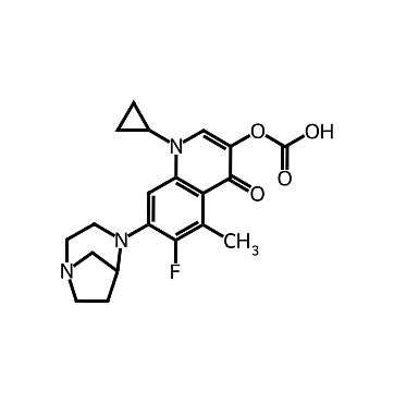 Cc1c(F)c(N2CCN3CCC2C3)cc2c1c(=O)c(OC(=O)O)cn2C1CC1